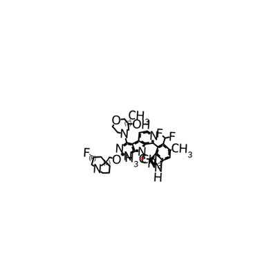 Cc1cc2[nH]nc(C)c2c(-c2nccc3c4c(N5CCOC[C@@](C)(O)C5)nc(OC[C@@]56CCCN5C[C@H](F)C6)nc4n(C)c23)c1C(F)F